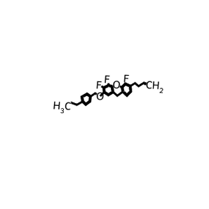 C=CCCc1ccc2c(c1F)Oc1c(cc(OCc3ccc(CCC)cc3)c(F)c1F)C2